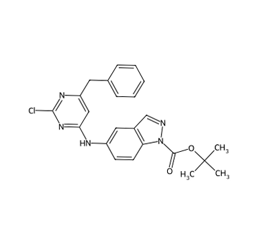 CC(C)(C)OC(=O)n1ncc2cc(Nc3cc(Cc4ccccc4)nc(Cl)n3)ccc21